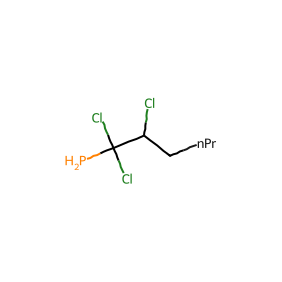 CCCCC(Cl)C(P)(Cl)Cl